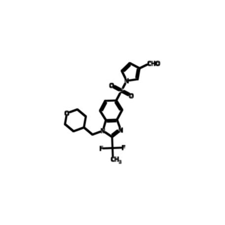 CC(F)(F)c1nc2cc(S(=O)(=O)n3ccc(C=O)c3)ccc2n1CC1CCOCC1